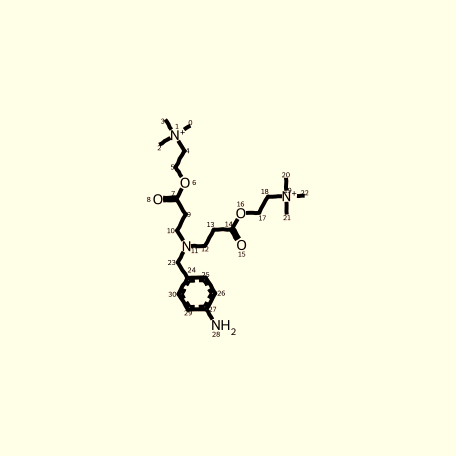 C[N+](C)(C)CCOC(=O)CCN(CCC(=O)OCC[N+](C)(C)C)Cc1ccc(N)cc1